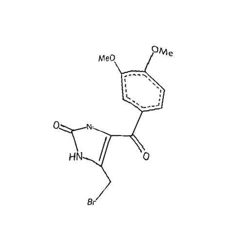 COc1ccc(C(=O)C2=C(CBr)NC(=O)[N]2)cc1OC